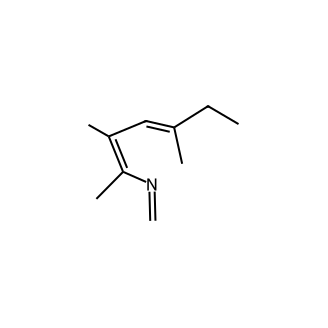 C=N/C(C)=C(C)\C=C(/C)CC